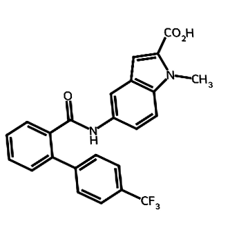 Cn1c(C(=O)O)cc2cc(NC(=O)c3ccccc3-c3ccc(C(F)(F)F)cc3)ccc21